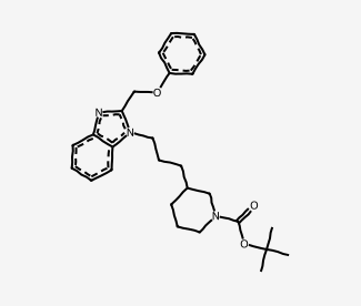 CC(C)(C)OC(=O)N1CCCC(CCCn2c(COc3ccccc3)nc3ccccc32)C1